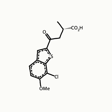 COc1ccc2cc(C(=O)C[C@H](C)C(=O)O)sc2c1Cl